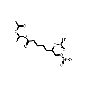 CC(=O)OC(C)OC(=O)CCCCC(CO[N+](=O)[O-])O[N+](=O)[O-]